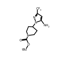 CC(C)(C)OC(=O)N1CCC(n2nc(C(F)(F)F)cc2N)CC1